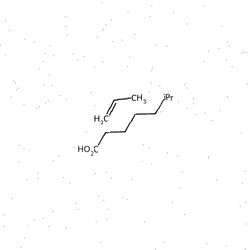 C=CC.CC(C)CCCCC(=O)O